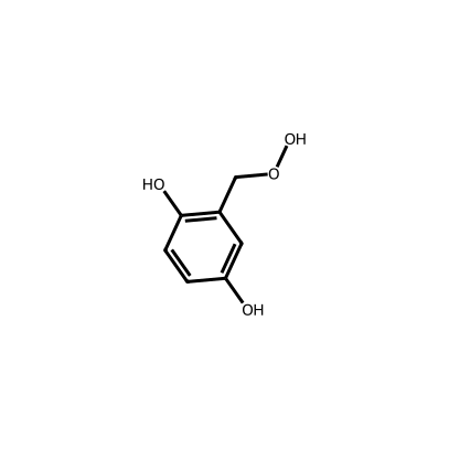 OOCc1cc(O)ccc1O